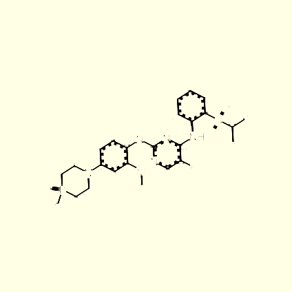 COc1cc(N2CCP(C)(=O)CC2)ccc1Nc1ncc(Cl)c(Nc2ccccc2S(=O)(=O)C(C)C)n1